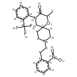 CC1OC2(CCN(CCc3cccnc3[N+](=O)[O-])CC2)CN(c2cnccc2C(F)(F)F)C1=O